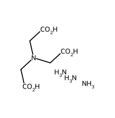 N.N.N.O=C(O)CN(CC(=O)O)CC(=O)O